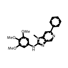 COc1cc(Nc2nc3cnc(-c4ccccc4)cc3n2C)cc(OC)c1OC